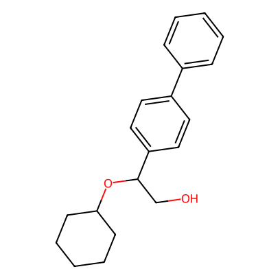 OCC(OC1CCCCC1)c1ccc(-c2ccccc2)cc1